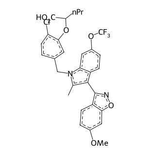 CCCC(Oc1cc(Cn2c(C)c(-c3noc4cc(OC)ccc34)c3ccc(OC(F)(F)F)cc32)ccc1Cl)C(=O)O